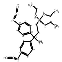 CCO[Si](CCC(N)(c1ccc(N=C=O)cc1)c1ccc(N=C=O)cc1)(OCC)OCC